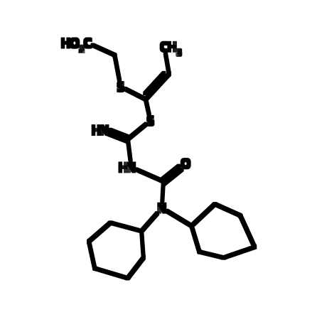 CC=C(SCC(=O)O)SC(=N)NC(=O)N(C1CCCCC1)C1CCCCC1